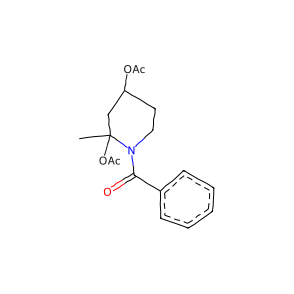 CC(=O)OC1CCN(C(=O)c2ccccc2)C(C)(OC(C)=O)C1